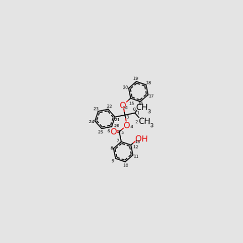 CC(C)C(OC(=O)c1ccccc1O)(Oc1ccccc1)c1ccccc1